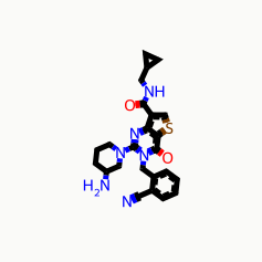 N#Cc1ccccc1Cn1c(N2CCCC(N)C2)nc2c(C(=O)NCC3CC3)csc2c1=O